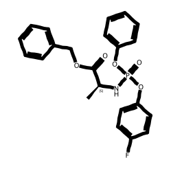 C[C@H](NP(=O)(Oc1ccccc1)Oc1ccc(F)cc1)C(=O)OCc1ccccc1